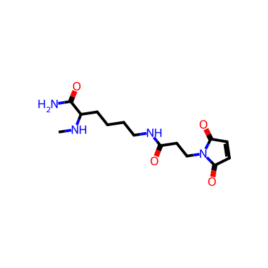 CNC(CCCCNC(=O)CCN1C(=O)C=CC1=O)C(N)=O